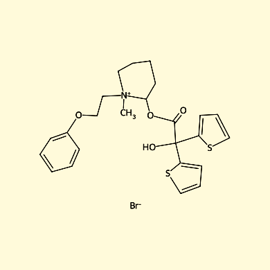 C[N+]1(CCOc2ccccc2)CCCCC1OC(=O)C(O)(c1cccs1)c1cccs1.[Br-]